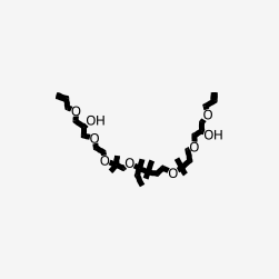 C=CCOCC(O)COCCOC(C)(C)COC(C)(CC)C(C)(C)CCOC(C)(C)CCOCC(O)COCC=C